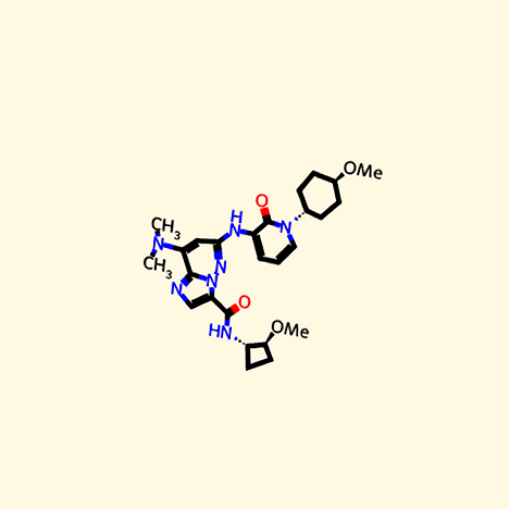 CO[C@H]1CC[C@@H]1NC(=O)c1cnc2c(N(C)C)cc(Nc3cccn([C@H]4CC[C@H](OC)CC4)c3=O)nn12